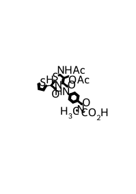 CC(=O)NC1S[C@@H]2[C@H](c3cccs3)C(=O)N2C(C(=O)Nc2ccc(C(=O)N(C)C(=O)O)cc2)=C1COC(C)=O